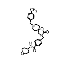 O=C(NC1CCOCC1)c1ccc(CN2CC3(CCN(Cc4ccc(C(F)(F)F)cc4)CC3)OC2=O)cc1